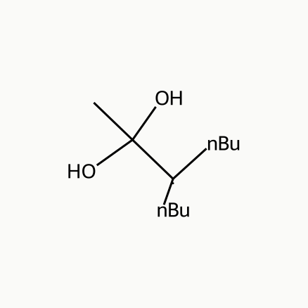 CCCC[C](CCCC)C(C)(O)O